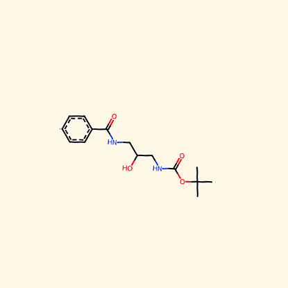 CC(C)(C)OC(=O)NCC(O)CNC(=O)c1cc[c]cc1